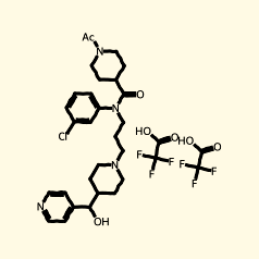 CC(=O)N1CCC(C(=O)N(CCCN2CCC(C(O)c3ccncc3)CC2)c2cccc(Cl)c2)CC1.O=C(O)C(F)(F)F.O=C(O)C(F)(F)F